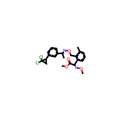 CO/N=C(/C(=O)OC)c1cccc(C)c1CO/N=C(\C)c1cccc(C2CC2(Cl)Cl)c1